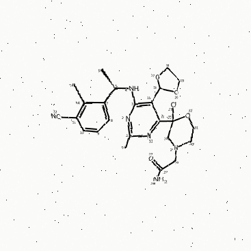 Cc1nc(N[C@H](C)c2cccc(C#N)c2C)c(C2OCCO2)c(C2(Cl)CN(CC(N)=O)CCO2)n1